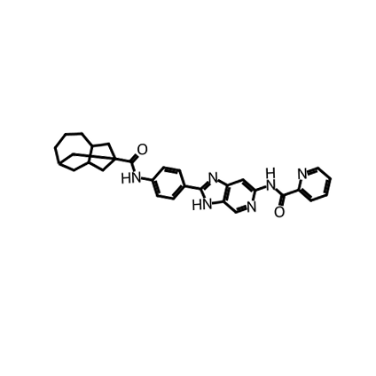 O=C(Nc1cc2nc(-c3ccc(NC(=O)C45CC6CCCC(C4)C(C6)C5)cc3)[nH]c2cn1)c1ccccn1